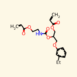 C=CC(=O)OCCNC(=O)OC(COC(=O)C=C)COc1cccc(CC)c1